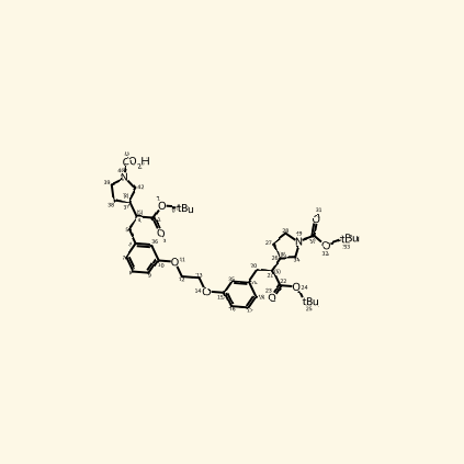 CC(C)(C)OC(=O)[C@@H](Cc1cccc(OCCOc2cccc(C[C@H](C(=O)OC(C)(C)C)[C@H]3CCN(C(=O)OC(C)(C)C)C3)c2)c1)[C@H]1CCN(C(=O)O)C1